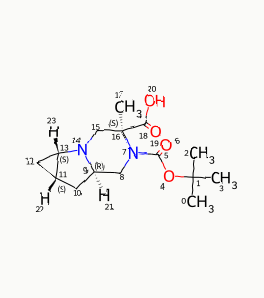 CC(C)(C)OC(=O)N1C[C@H]2C[C@@H]3C[C@@H]3N2C[C@@]1(C)C(=O)O